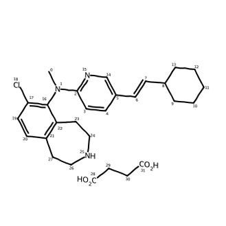 CN(c1ccc(/C=C/C2CCCCC2)cn1)c1c(Cl)ccc2c1CCNCC2.O=C(O)CCC(=O)O